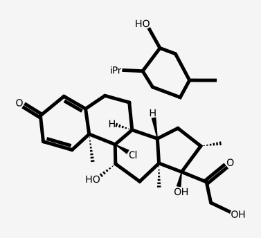 CC1CCC(C(C)C)C(O)C1.C[C@H]1C[C@H]2[C@@H]3CCC4=CC(=O)C=C[C@]4(C)[C@@]3(Cl)[C@@H](O)C[C@]2(C)[C@@]1(O)C(=O)CO